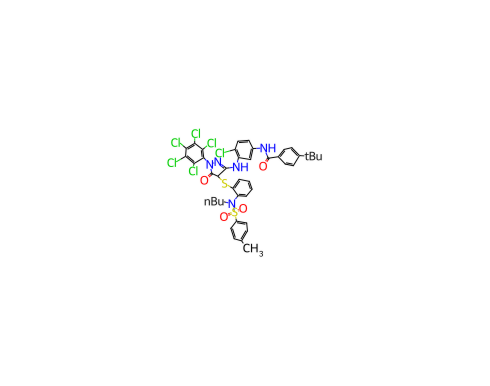 CCCCN(c1ccccc1SC1C(=O)N(c2c(Cl)c(Cl)c(Cl)c(Cl)c2Cl)N=C1Nc1cc(NC(=O)c2ccc(C(C)(C)C)cc2)ccc1Cl)S(=O)(=O)c1ccc(C)cc1